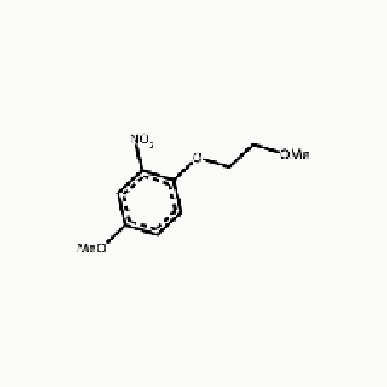 COCCOc1ccc(OC)cc1[N+](=O)[O-]